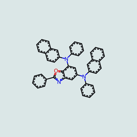 c1ccc(-c2nc3cc(N(c4ccccc4)c4ccc5ccccc5c4)cc(N(c4ccccc4)c4ccc5ccccc5c4)c3o2)cc1